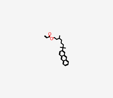 C=CC(=O)OCCC(C)CCCC(C)(C)c1ccc2cc3ccccc3cc2c1